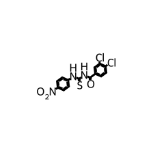 O=C(NC(=S)Nc1ccc([N+](=O)[O-])cc1)c1ccc(Cl)c(Cl)c1